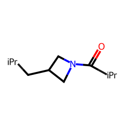 CC(C)CC1CN(C(=O)C(C)C)C1